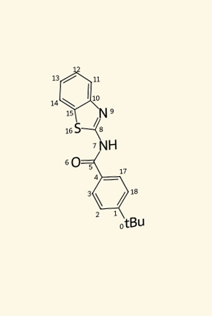 CC(C)(C)c1ccc(C(=O)Nc2nc3ccccc3s2)cc1